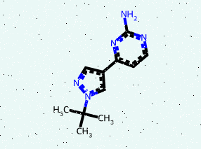 CC(C)(C)n1cc(-c2ccnc(N)n2)cn1